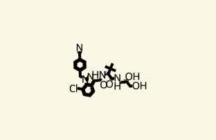 CC(C)(C)[C@H](NC(=O)c1nn(Cc2ccc(C#N)cc2)c2c(Cl)cccc12)C(=O)NC[C@@H](O)CO